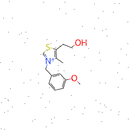 COc1cccc(C[n+]2csc(CCO)c2C)c1